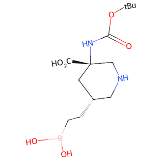 CC(C)(C)OC(=O)N[C@]1(C(=O)O)CNC[C@H](CCB(O)O)C1